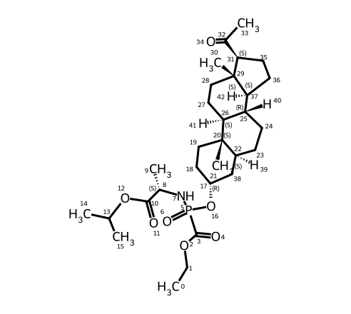 CCOC(=O)P(=O)(N[C@@H](C)C(=O)OC(C)C)O[C@@H]1CC[C@@]2(C)[C@@H](CC[C@@H]3[C@@H]2CC[C@]2(C)[C@@H](C(C)=O)CC[C@@H]32)C1